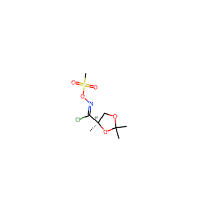 CC1(C)OC[C@](C)(C(Cl)=NOS(C)(=O)=O)O1